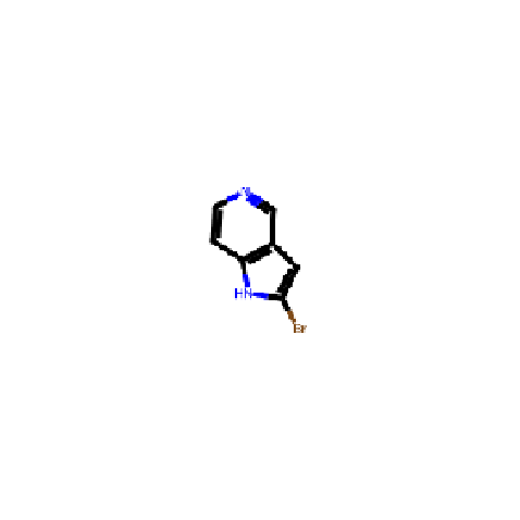 Brc1cc2cnccc2[nH]1